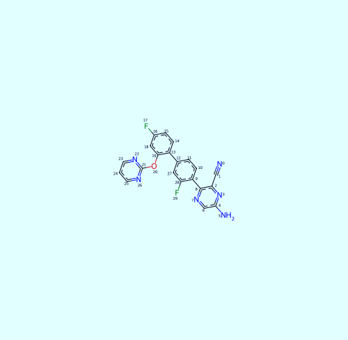 N#Cc1nc(N)cnc1-c1ccc(-c2ccc(F)cc2Oc2ncccn2)cc1F